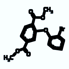 COC(=O)c1ccc(C(=O)OC)c(Oc2ccccc2Br)c1